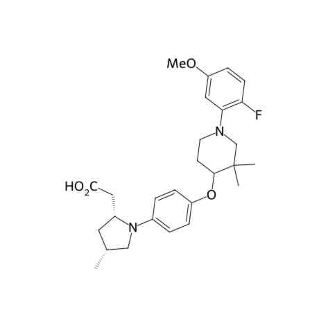 COc1ccc(F)c(N2CCC(Oc3ccc(N4C[C@H](C)C[C@@H]4CC(=O)O)cc3)C(C)(C)C2)c1